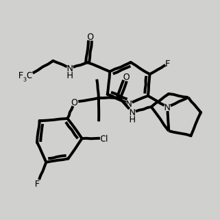 CC(C)(Oc1ccc(F)cc1Cl)C(=O)NC1CC2CCC1N2c1ncc(C(=O)NCC(F)(F)F)cc1F